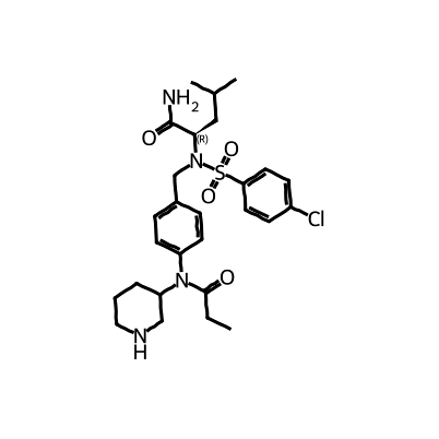 CCC(=O)N(c1ccc(CN([C@H](CC(C)C)C(N)=O)S(=O)(=O)c2ccc(Cl)cc2)cc1)C1CCCNC1